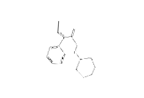 C=C(COC1CCCCC1)/C(=C\C)c1ccccc1